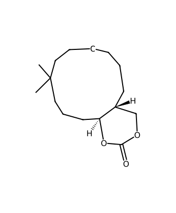 CC1(C)CCCCCC[C@@H]2COC(=O)O[C@H]2CCC1